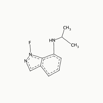 CC(C)Nc1cccc2cnn(F)c12